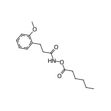 CCCCCC(=O)ONC(=O)CCc1ccccc1OC